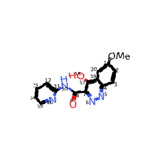 COc1ccc2nnc(C(=O)Nc3ccccn3)c(O)c2c1